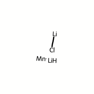 [LiH].[Li][Cl].[Mn]